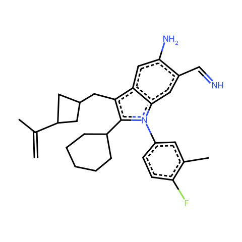 C=C(C)C1CC(Cc2c(C3CCCCC3)n(-c3ccc(F)c(C)c3)c3cc(C=N)c(N)cc23)C1